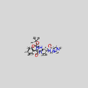 CN1C=C2C(=O)N(C3CCN(C(=O)C(NC(=O)OC(C)(C)C)c4ccccc4)CC3)CN2C1